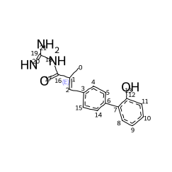 C/C(=C\c1ccc(-c2ccccc2O)cc1)C(=O)NC(=N)N